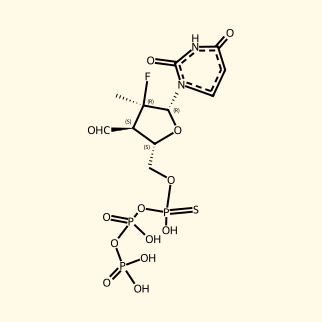 C[C@@]1(F)[C@H](C=O)[C@@H](COP(O)(=S)OP(=O)(O)OP(=O)(O)O)O[C@H]1n1ccc(=O)[nH]c1=O